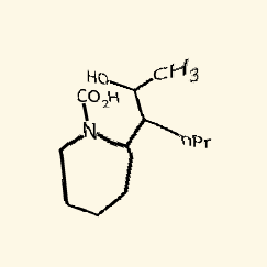 CCCC(C(C)O)C1CCCCN1C(=O)O